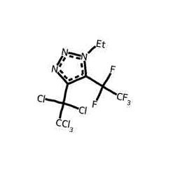 CCn1nnc(C(Cl)(Cl)C(Cl)(Cl)Cl)c1C(F)(F)C(F)(F)F